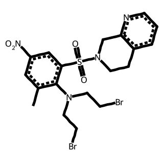 Cc1cc([N+](=O)[O-])cc(S(=O)(=O)N2CCc3cccnc3C2)c1N(CCBr)CCBr